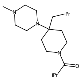 CC(C)CC1(N2CCN(C)CC2)CCN(C(=O)C(C)C)CC1